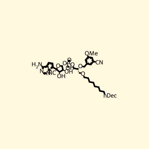 CCCCCCCCCCCCCCCCCCOC[C@H](COP(=O)(O)O[C@H]1O[C@@](C#N)(c2ccc3c(N)ncnn23)[C@H](O)[C@@H]1O)OCc1cc(C#N)cc(OC)c1